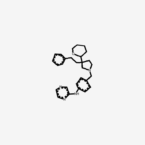 c1ccc(CCC2(C3CCCCO3)CCN(Cc3ccc(Nc4cnccn4)cc3)C2)cc1